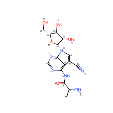 CNC(C)C(=O)Nc1ncnc2c1c(C#N)cn2[C@@H]1O[C@H](CO)C(O)[C@@H]1O